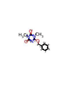 Cn1c(OCc2ccccc2)nc(=O)n(C)c1=O